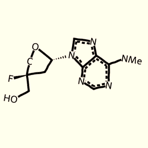 CNc1ncnc2c1ncn2[C@@H]1C[C@](F)(CO)CO1